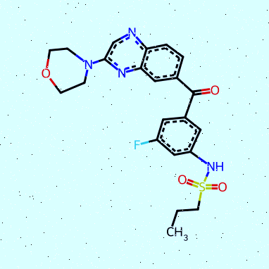 CCCS(=O)(=O)Nc1cc(F)cc(C(=O)c2ccc3ncc(N4CCOCC4)nc3c2)c1